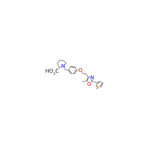 Cc1oc(-c2cccs2)nc1CCOc1ccc(CN2CCCCC2C(=O)O)cc1